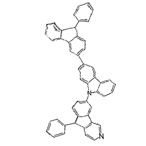 c1ccc(C2c3ccccc3-c3cc(-c4ccc5c(c4)c4ccccc4n5-c4ccc5c(c4)-c4cnccc4C5c4ccccc4)ccc32)cc1